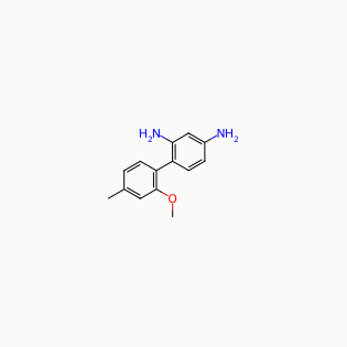 COc1cc(C)ccc1-c1ccc(N)cc1N